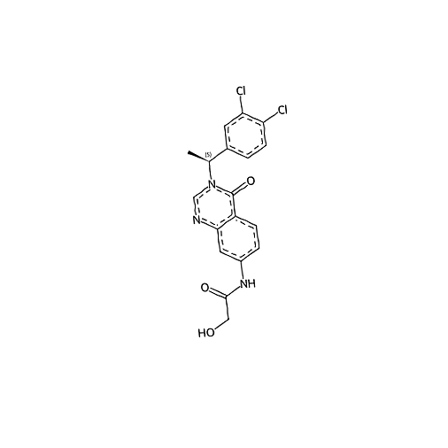 C[C@@H](c1ccc(Cl)c(Cl)c1)n1cnc2cc(NC(=O)CO)ccc2c1=O